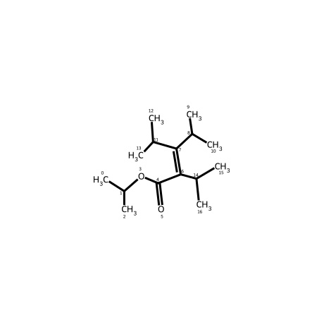 CC(C)OC(=O)C(=C(C(C)C)C(C)C)C(C)C